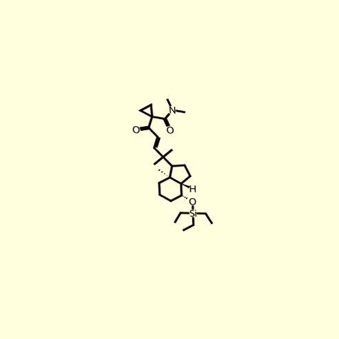 CC[Si](CC)(CC)O[C@@H]1CCC[C@@]2(C)C(C(C)(C)/C=C/C(=O)C3(C(=O)N(C)C)CC3)CC[C@H]12